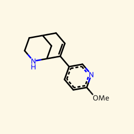 COc1ccc(C2=CCC3CCNC2C3)cn1